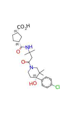 CC(C)(CC(=O)N1CC[C@](O)(c2ccc(Cl)cc2)C(C)(C)C1)NC(=O)[C@@H]1CC[C@H](C(=O)O)C1